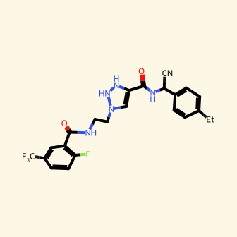 CCc1ccc(C(C#N)NC(=O)C2=CN(CCNC(=O)c3cc(C(F)(F)F)ccc3F)NN2)cc1